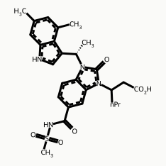 CCCC(CC(=O)O)n1c(=O)n([C@@H](C)c2c[nH]c3cc(C)cc(C)c23)c2ccc(C(=O)NS(C)(=O)=O)cc21